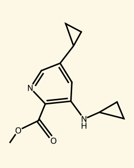 COC(=O)c1ncc(C2CC2)cc1NC1CC1